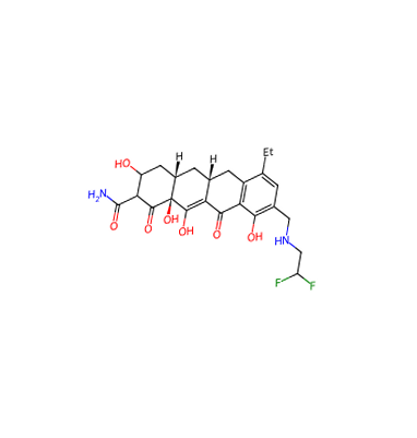 CCc1cc(CNCC(F)F)c(O)c2c1C[C@H]1C[C@H]3CC(O)C(C(N)=O)C(=O)[C@@]3(O)C(O)=C1C2=O